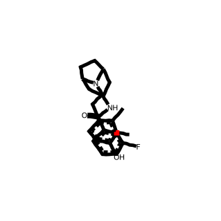 Cc1c(O)ccc(CCN2C3CCC2CC(NC(=O)c2cccc(F)c2)C3)c1C